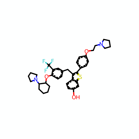 Oc1ccc2c(Cc3ccc(OC4CCCCC4N4CCCC4)c(C(F)(F)F)c3)c(-c3ccc(OCCN4CCCC4)cc3)sc2c1